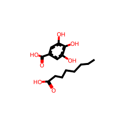 CCCCCCCC(=O)O.O=C(O)c1cc(O)c(O)c(O)c1